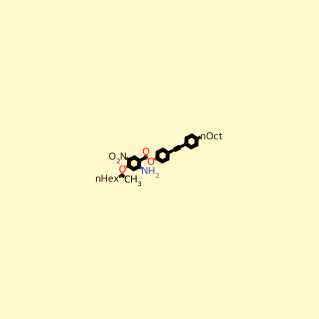 CCCCCCCCc1ccc(C#Cc2ccc(OC(=O)c3cc([N+](=O)[O-])c(OC(C)CCCCCC)cc3N)cc2)cc1